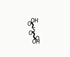 O=C(O)CCSC(=O)CCC(=O)O